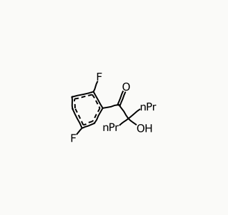 CCCC(O)(CCC)C(=O)c1cc(F)ccc1F